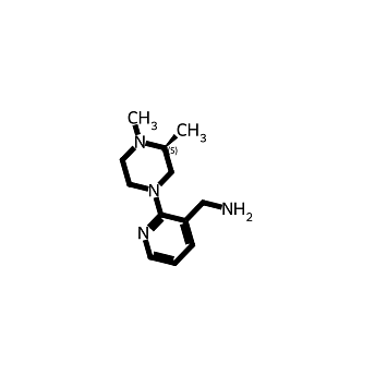 C[C@H]1CN(c2ncccc2CN)CCN1C